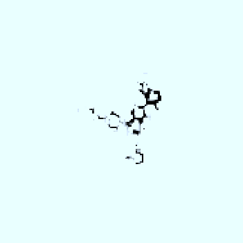 Cc1ccc2[nH]ncc2c1-c1ncc2c(N3CCN(C(=O)OC(C)(C)C)C[C@@H]3C)nc(OC[C@@H]3CCCN3C)nc2c1F